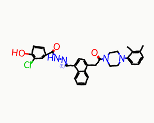 Cc1cccc(N2CCN(C(=O)Cc3ccc(/C=N/NC(=O)c4ccc(O)c(Cl)c4)c4ccccc34)CC2)c1C